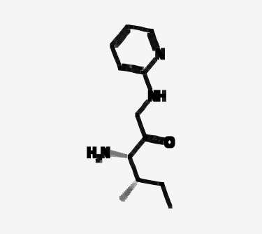 CC[C@H](C)[C@H](N)C(=O)CNc1ccccn1